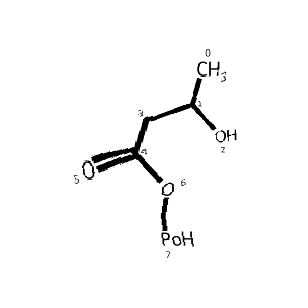 CC(O)CC(=O)[O][PoH]